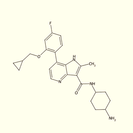 Cc1[nH]c2c(-c3ccc(F)cc3OCC3CC3)ccnc2c1C(=O)NC1CCC(N)CC1